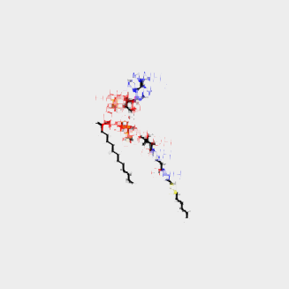 C=C(CCCCCCCCCCCC)C(=O)O.CCCCCCSCCNC(=O)CCNC(=O)[C@H](O)C(C)(C)COP(=O)(O)OP(=O)(O)OC[C@H]1O[C@@H](n2cnc3c(N)ncnc32)[C@H](O)[C@@H]1OP(=O)(O)O